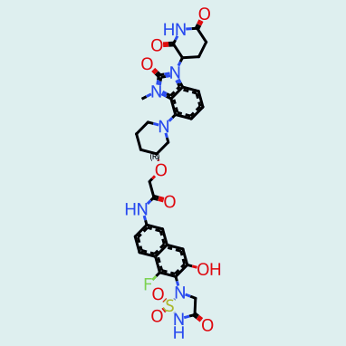 Cn1c(=O)n(C2CCC(=O)NC2=O)c2cccc(N3CCC[C@@H](OCC(=O)Nc4ccc5c(F)c(N6CC(=O)NS6(=O)=O)c(O)cc5c4)C3)c21